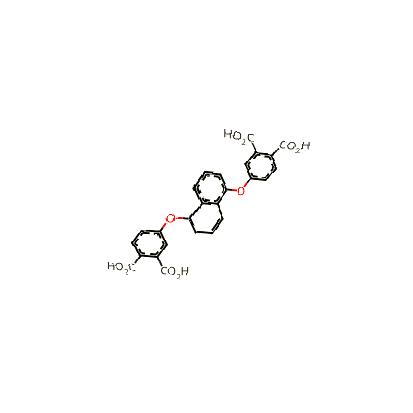 O=C(O)c1ccc(O[C]2CC=Cc3c(Oc4ccc(C(=O)O)c(C(=O)O)c4)cccc32)cc1C(=O)O